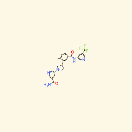 Cc1ccc(C(=O)Nc2cncc(C(F)(F)F)c2)cc1C1CCN(c2cncc(C(N)=O)c2)C1